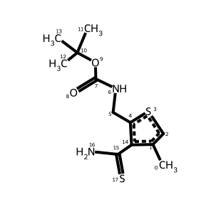 Cc1csc(CNC(=O)OC(C)(C)C)c1C(N)=S